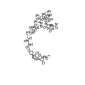 C=CC(=O)Nc1cc(Cl)cc(NC(=O)c2cnn(-c3ccc(OCC(=O)NCCNC(=O)CCC[C@@H](C)[C@@H](O)CC(=O)N[C@@H](CC)C(=O)N(C)CC(=O)N(C)[C@@H](CC(C)C)C(=O)NC(C(=O)N(C)[C@@H](CC(C)C)C(=O)N[C@@H](C)C(=O)N[C@H](C)C(=O)N(C)[C@@H](CC(C)C)C(=O)N(C)CC(=O)N(C)C(C(=O)N(C)C)C(C)C)C(C)C)cc3)c2C(F)(F)F)c1